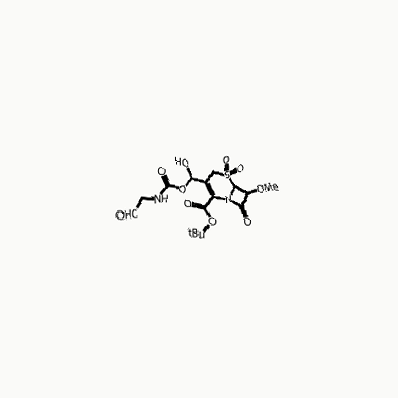 COC1C(=O)N2C(C(=O)OC(C)(C)C)=C(C(O)OC(=O)NCC=O)CS(=O)(=O)C12